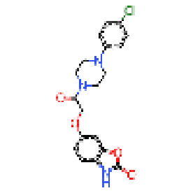 O=C(COc1ccc2[nH]c(=O)oc2c1)N1CCN(c2ccc(Cl)cc2)CC1